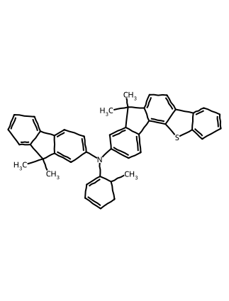 CC1CC=CC=C1N(c1ccc2c(c1)C(C)(C)c1ccccc1-2)c1ccc2c(c1)C(C)(C)c1ccc3c(sc4ccccc43)c1-2